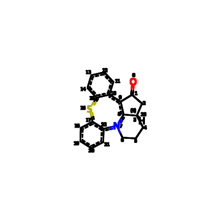 O=C1C[C@@H]2CCCn3c2c1c1ccccc1sc1ccccc13